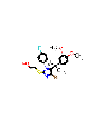 COc1ccc(C(C)(C)c2c(Br)nc(SCCO)n2-c2ccc(F)cc2)cc1OC